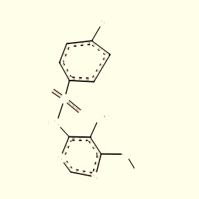 CCCCCCCCCCOc1ncnc(NS(=O)(=O)c2ccc(N)cc2)c1OC